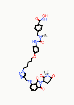 CCCCN(Cc1ccc(C(=O)NO)cc1)C(=O)Nc1ccc(OCCCCCn2cc(CNc3cccc4c3C(=O)N(C3CCC(=O)N(C)C3=O)C4=O)nn2)cc1